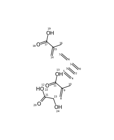 C=C.C=C.C=C.C=C.C=C(C)C(=O)O.C=C(C)C(=O)O.O=C(O)CO